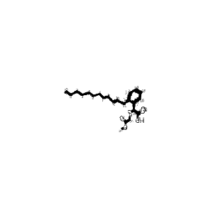 CCCCCCCCCCCCc1ccccc1C(SCC(=O)OC)C(=O)O